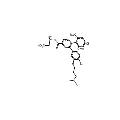 COc1cccc(OC)c1-c1ccc(C(=O)NC(CC(=O)O)C(C)C)cc1-c1ccc(Cl)c(OCCCN(C)C)c1.Cl